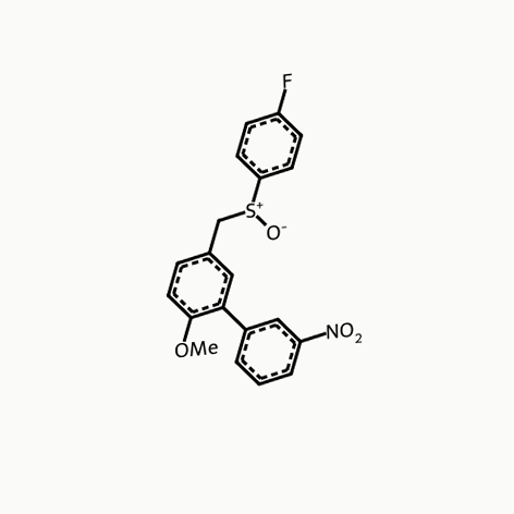 COc1ccc(C[S+]([O-])c2ccc(F)cc2)cc1-c1cccc([N+](=O)[O-])c1